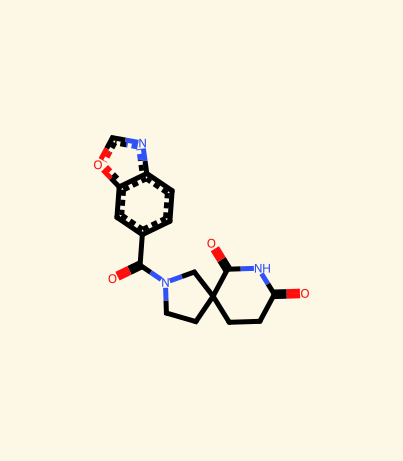 O=C1CCC2(CCN(C(=O)c3ccc4ncoc4c3)C2)C(=O)N1